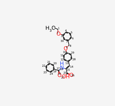 CCOc1cccc(COc2ccc(/C=C(\NC(=O)c3ccccc3)C(=O)O)cc2)c1